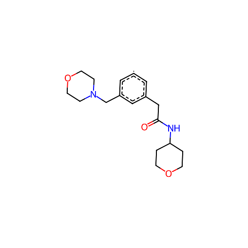 O=C(Cc1c[c]cc(CN2CCOCC2)c1)NC1CCOCC1